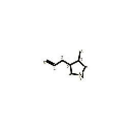 C=CCC1C[N]CC1C